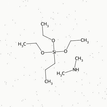 CCC[Si](OCC)(OCC)OCC.CNC